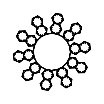 c1ccc2cc3c(cc2c1)-c1cc2ccccc2cc1-c1cc2ccccc2cc1-c1cc2ccccc2cc1-c1cc2ccccc2cc1-c1cc2ccccc2cc1-c1cc2ccccc2cc1-c1cc2ccccc2cc1-c1cc2ccccc2cc1-c1cc2ccccc2cc1-3